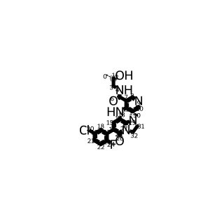 C[C@H](O)CNC(=O)c1cnccc1Nc1cc(-c2cc(Cl)ccc2F)c(=O)n2c1N(C)CC2